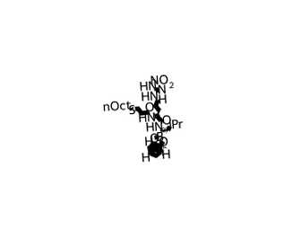 CCCCCCCCSCCC(=O)N[C@@H](CCCNC(=N)N[N+](=O)[O-])C(=O)N[C@@H](CC(C)C)B1O[C@@H]2C[C@@H]3C[C@@H](C3(C)C)[C@]2(C)O1